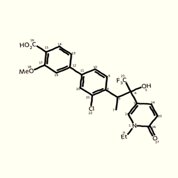 CCn1cc(C(O)(C(C)c2ccc(-c3ccc(C(=O)O)c(OC)c3)cc2Cl)C(F)(F)F)ccc1=O